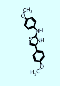 COc1ccc(NC2NC(c3ccc(OC)cc3)=CS2)cc1